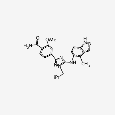 COc1cc(-c2nc(Nc3ccc4[nH]ncc4c3C)n(CC(C)C)n2)ccc1C(N)=O